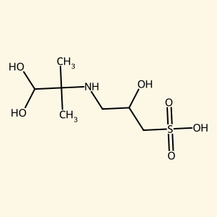 CC(C)(NCC(O)CS(=O)(=O)O)C(O)O